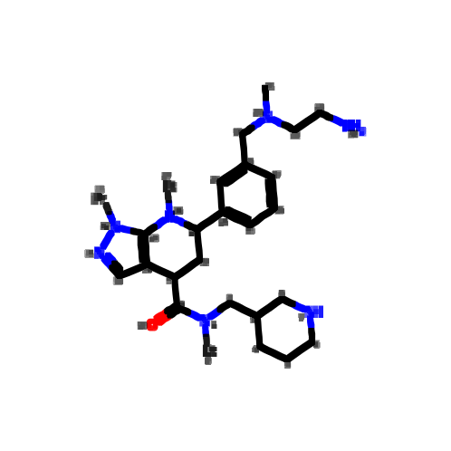 CCN(CC1CCCNC1)C(=O)C1CC(c2cccc(CN(C)CCN)c2)N(CC)c2c1cnn2C(C)C